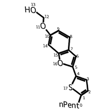 CCCCCc1ccc(-c2cc3ccc(OCO)cc3o2)s1